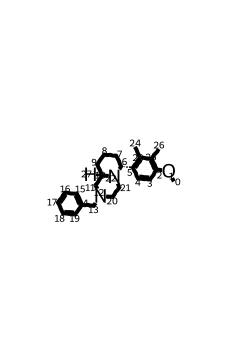 COc1ccc([C@H]2CCC[C@H]3CN(Cc4ccccc4)CCN32)c(C)c1C